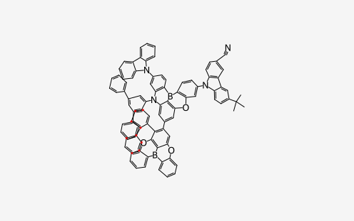 CC(C)(C)c1ccc2c(c1)c1cc(C#N)ccc1n2-c1ccc2c(c1)Oc1cc(-c3cc4c5c(c3-c3ccccc3-c3ccccc3)Oc3ccccc3B5c3ccccc3O4)cc3c1B2c1ccc(-n2c4ccccc4c4ccccc42)cc1N3c1cc(-c2ccccc2)cc(-c2ccccc2)c1